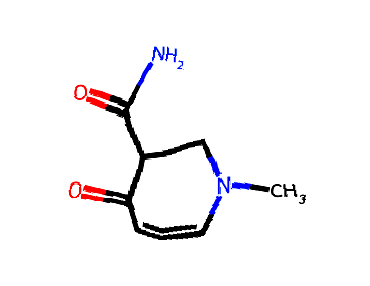 CN1C=CC(=O)C(C(N)=O)C1